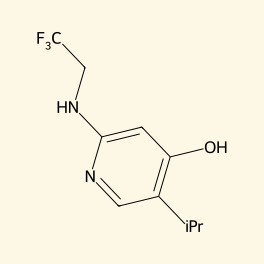 CC(C)c1cnc(NCC(F)(F)F)cc1O